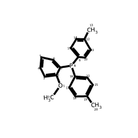 COc1ccccc1P(c1ccc(C)cc1)c1ccc(C)cc1